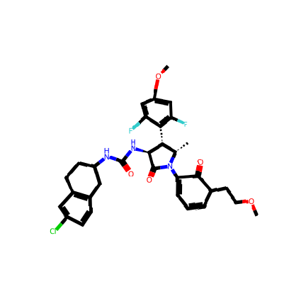 COCCC1C=CC=C(N2C(=O)[C@@H](NC(=O)NC3CCc4cc(Cl)ccc4C3)[C@H](c3c(F)cc(OC)cc3F)[C@@H]2C)C1=O